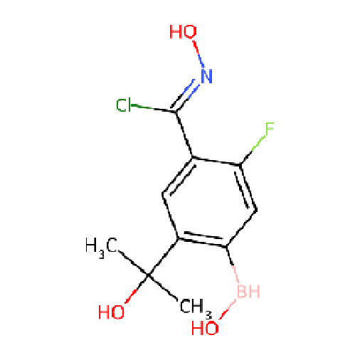 CC(C)(O)c1cc(C(Cl)=NO)c(F)cc1BO